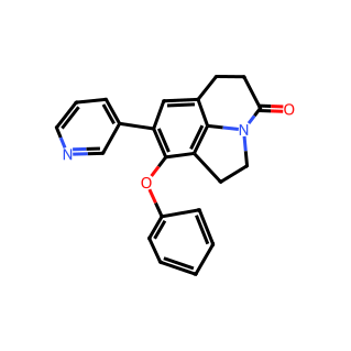 O=C1CCc2cc(-c3cccnc3)c(Oc3ccccc3)c3c2N1CC3